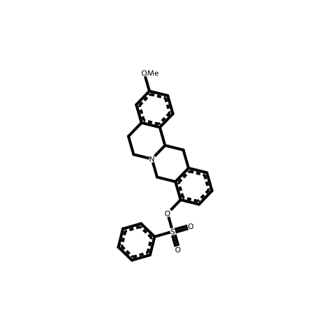 COc1ccc2c(c1)CCN1Cc3c(cccc3OS(=O)(=O)c3ccccc3)CC21